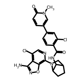 Cn1cc(-c2ccc(C(=O)NC3C4CCC3N(c3ncc(Cl)c5c(N)noc35)C4)c(Cl)c2)ccc1=O